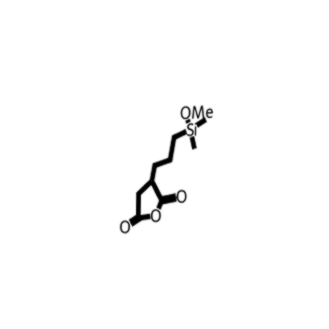 CO[Si](C)(C)CCCC1CC(=O)OC1=O